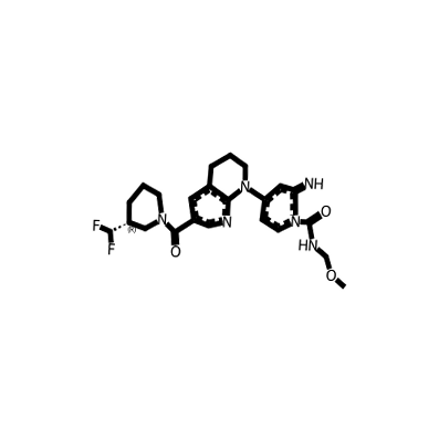 COCNC(=O)n1ccc(N2CCCc3cc(C(=O)N4CCC[C@@H](C(F)F)C4)cnc32)cc1=N